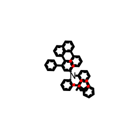 CC1(C)c2ccccc2-c2cccc(N(c3ccc(-c4cccc5cccc(-c6ccccc6)c45)c(-c4ccccc4)c3)c3ccccc3-c3ccccc3)c21